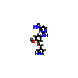 CNc1ccnc(Nc2ccc(OC)c(OCC3CCNC3)c2)n1